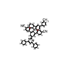 Cc1cccc(-c2ccc3c(c2)c2ccccc2n3-c2c(-c3ccc(C#N)cc3)cc(-c3nc(-c4ccccc4)cc(-c4ccccc4)n3)cc2-c2ccc(C#N)cc2)c1